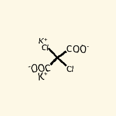 O=C([O-])C(Cl)(Cl)C(=O)[O-].[K+].[K+]